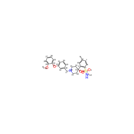 CNS(=O)(=O)c1ccc(C)cc1C1(O)CCN(Cc2cccc(Oc3ccccc3OC)c2)CC1